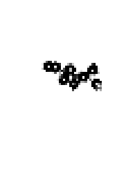 c1ccc2cc(-n3c4ccccc4c4c(-n5c6ccccc6c6cc7c(cc65)c5ccccc5n7-c5ccncc5)cccc43)ccc2c1